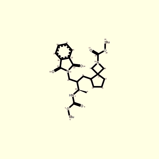 C[C@@H](NC(=O)OC(C)(C)C)C(CC1CCCC12CN(C(=O)OC(C)(C)C)C2)CN1C(=O)c2ccccc2C1=O